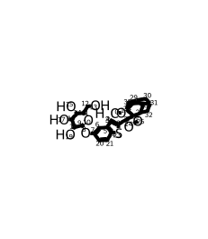 COC1(c2cc3cc(OC4OC(CO)C(O)C(O)C4O)ccc3s2)OOC12C1CC3CC(C1)CC2C3